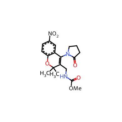 COC(=O)NCC1=C(N2CCCC2=O)c2cc([N+](=O)[O-])ccc2OC1(C)C